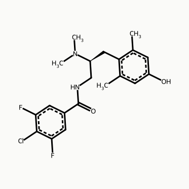 Cc1cc(O)cc(C)c1C[C@@H](CNC(=O)c1cc(F)c(Cl)c(F)c1)N(C)C